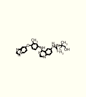 Cc1cc(Nc2ncnc3ccc(NC(=S)NC(C)(C)CO)cc23)ccc1Oc1ccn2ncnc2c1